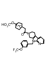 O=C(O)OC12CCC(CC(=O)N3CCc4c(n(Cc5cccc(OC(F)(F)F)c5)c5ncccc45)C3)(CC1)CC2